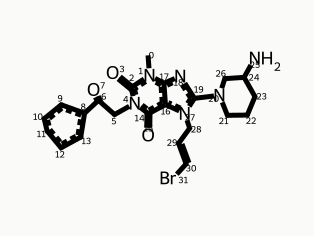 Cn1c(=O)n(CC(=O)c2ccccc2)c(=O)c2c1nc(N1CCCC(N)C1)n2C/C=C/Br